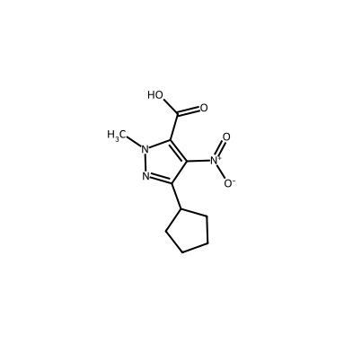 Cn1nc(C2CCCC2)c([N+](=O)[O-])c1C(=O)O